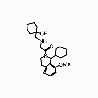 COc1cccc2c1C(C1CCCCC1)N(C(=O)CNCC1(O)CCCCC1)CC2